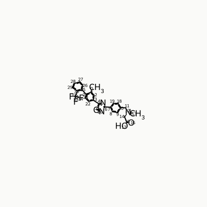 Cc1cc(-c2nc(-c3ccc(CN(C)CC(=O)O)cc3)no2)ccc1-c1ccccc1C(F)(F)F